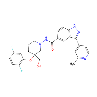 Cc1cc(-c2n[nH]c3ccc(C(=O)NN4CCCC(CO)(Oc5cc(F)ccc5F)C4)cc23)ccn1